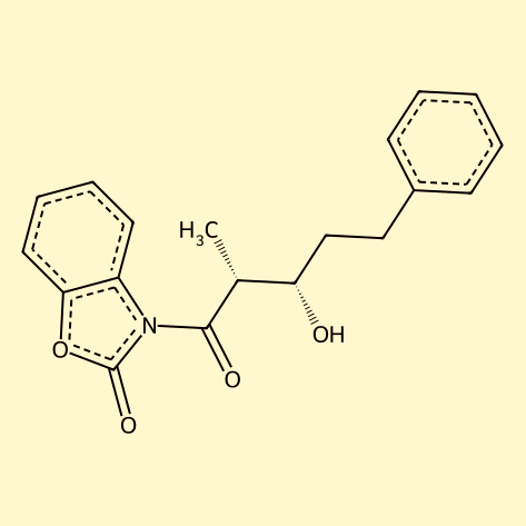 C[C@@H](C(=O)n1c(=O)oc2ccccc21)[C@@H](O)CCc1ccccc1